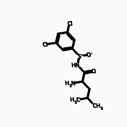 CC(C)CC(N)C(=O)N[S+]([O-])c1cc(Cl)cc(Cl)c1